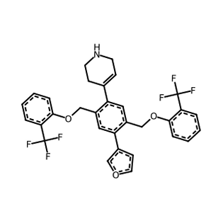 FC(F)(F)c1ccccc1OCc1cc(-c2ccoc2)c(COc2ccccc2C(F)(F)F)cc1C1=CCNCC1